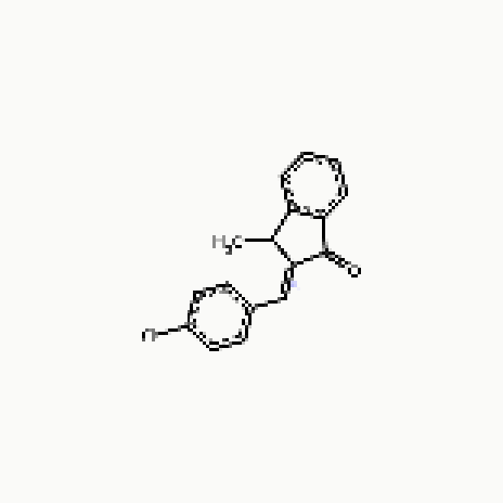 CC1/C(=C\c2ccc(Cl)cc2)C(=O)c2ccccc21